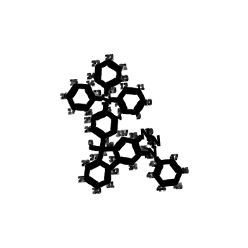 CC1(c2ccc([Si](c3ccccc3)(c3ccccc3)c3ccccc3)cc2)c2ccccc2-c2cc3c(cc21)nnn3-c1ccccc1